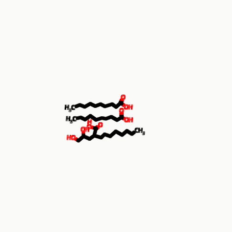 CCCCCCCCC(CC(O)CO)C(=O)O.CCCCCCCCCC(=O)O.CCCCCCCCCC(=O)O